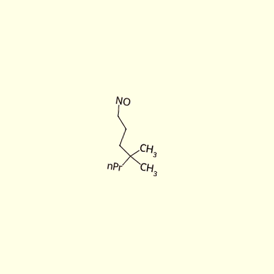 CCCC(C)(C)CCCN=O